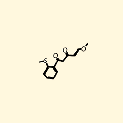 CO/C=C/C(=O)CC(=O)c1ccccc1SC